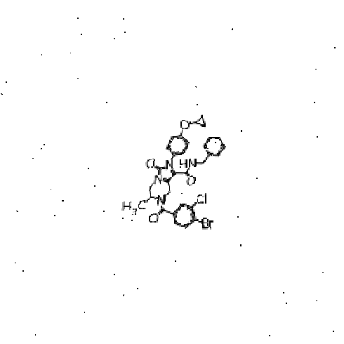 CC1Cn2c(c(C(=O)NCc3ccccc3)n(-c3ccc(OC4CC4)cc3)c2=O)CN1C(=O)c1ccc(Br)c(Cl)c1